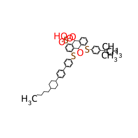 CCCCCC1CCC(c2ccc(-c3ccc(Sc4ccc(S(=O)(=O)O)c5c4C(=O)c4c(Sc6ccc(C(C)(C)C)cc6)cccc4C5=O)cc3)cc2)CC1